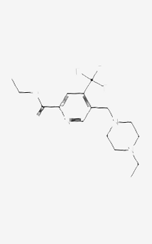 CCOC(=O)c1cc(C(F)(F)F)c(CN2CCN(CC)CC2)cn1